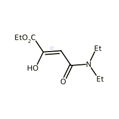 CCOC(=O)/C(O)=C/C(=O)N(CC)CC